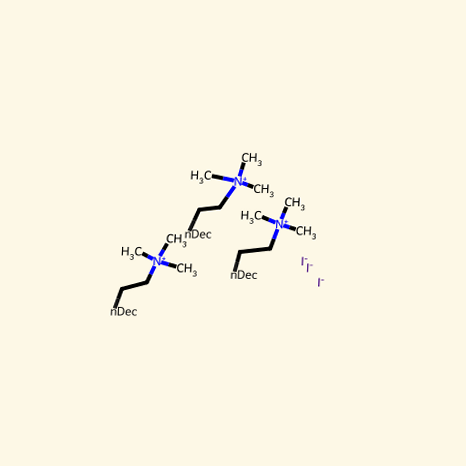 CCCCCCCCCCCC[N+](C)(C)C.CCCCCCCCCCCC[N+](C)(C)C.CCCCCCCCCCCC[N+](C)(C)C.[I-].[I-].[I-]